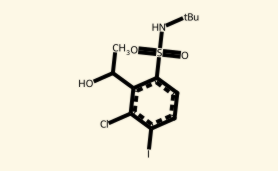 CC(O)c1c(S(=O)(=O)NC(C)(C)C)ccc(I)c1Cl